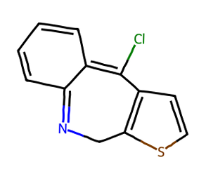 ClC1=c2ccccc2=NCc2sccc21